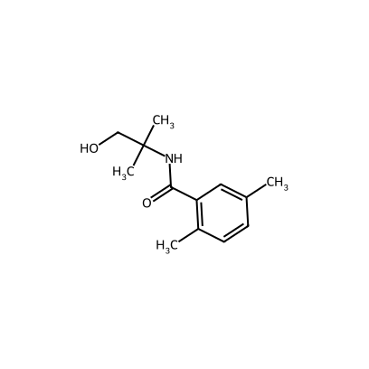 Cc1ccc(C)c(C(=O)NC(C)(C)CO)c1